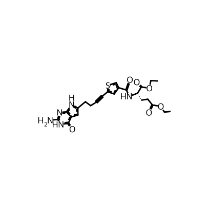 CCOC(=O)CC[C@H](NC(=O)c1csc(C#CCCc2cc3c(=O)[nH]c(N)nc3[nH]2)c1)C(=O)OCC